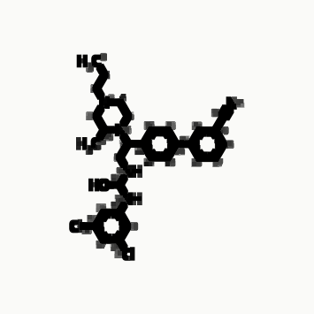 CCCN1CCN(C(CNC(O)Nc2cc(Cl)cc(Cl)c2)c2ccc(-c3cccc(C#N)c3)cc2)C(C)C1